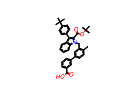 Cc1ccc(-c2cccc(C(=O)O)c2)cc1Cn1c(C(=O)OC(C)(C)C)c(-c2ccc(C(C)(C)C)cc2)c2ccccc21